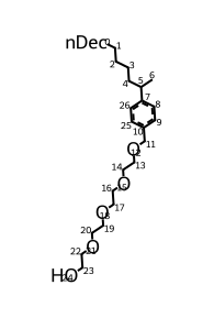 CCCCCCCCCCCCCCC(C)c1ccc(COCCOCCOCCOCCO)cc1